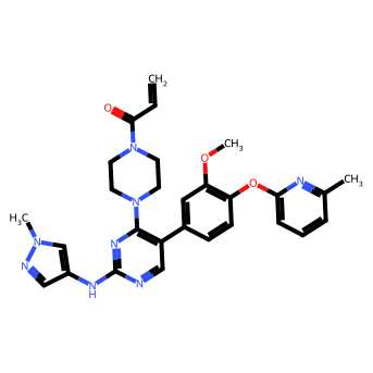 C=CC(=O)N1CCN(c2nc(Nc3cnn(C)c3)ncc2-c2ccc(Oc3cccc(C)n3)c(OC)c2)CC1